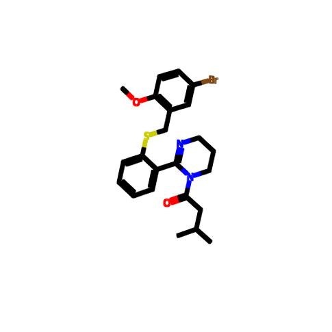 COc1ccc(Br)cc1CSc1ccccc1C1=NCCCN1C(=O)CC(C)C